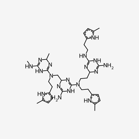 CNC1=NC(C)N=C(N(CCc2ccc(C)[nH]2)CC2N=C(N)NC(N(CCc3ccc(C)[nH]3)CCC3N=C(N)NC(NCCc4ccc(C)[nH]4)=N3)=N2)N1